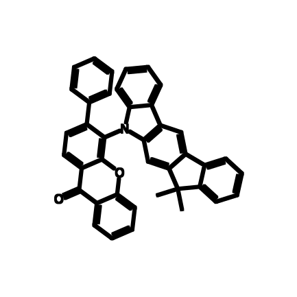 CC1(C)c2ccccc2-c2cc3c4ccccc4n(-c4c(-c5ccccc5)ccc5c(=O)c6ccccc6oc45)c3cc21